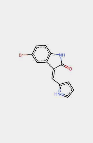 O=C1Nc2ccc(Br)cc2/C1=C/c1ccc[nH]1